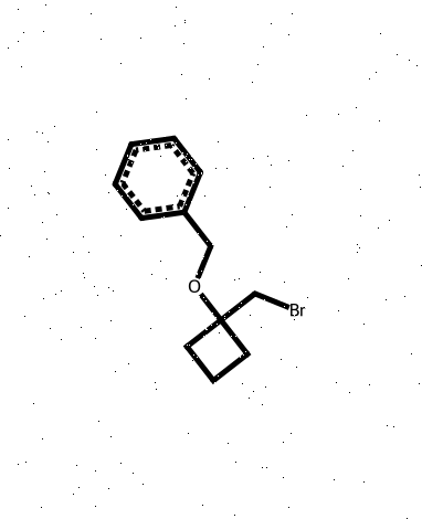 BrCC1(OCc2ccccc2)CCC1